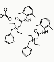 CC[N+](CC)(CC(=O)Nc1c(C)cccc1C)Cc1ccccc1.CC[N+](CC)(CC(=O)Nc1c(C)cccc1C)Cc1ccccc1.O=C([O-])[O-]